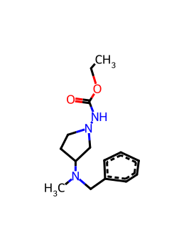 CCOC(=O)NN1CCC(N(C)Cc2ccccc2)C1